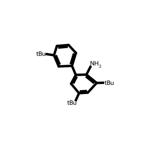 CC(C)(C)c1cccc(-c2cc(C(C)(C)C)cc(C(C)(C)C)c2N)c1